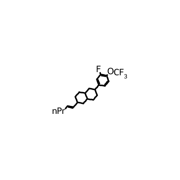 CCCC=CC1CCC2CC(c3ccc(OC(F)(F)F)c(F)c3)CCC2C1